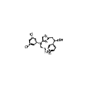 CCCC(CC1=NC(N(CCN)c2cc(Cl)cc(Cl)c2)CS1)c1ccc(I)cc1